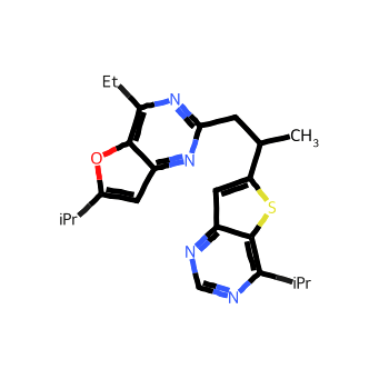 CCc1nc(CC(C)c2cc3ncnc(C(C)C)c3s2)nc2cc(C(C)C)oc12